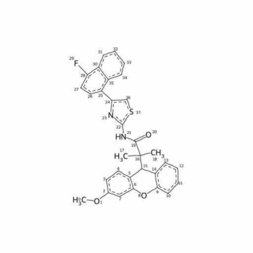 COc1ccc2c(c1)Oc1ccccc1C2C(C)(C)C(=O)Nc1nc(-c2ccc(F)c3ccccc23)cs1